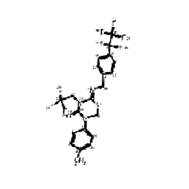 Cc1ccc(N2CS/C(=N\Cc3ccc(C(F)(F)C(F)(F)F)cc3)N(CC(F)(F)F)C2=O)cc1